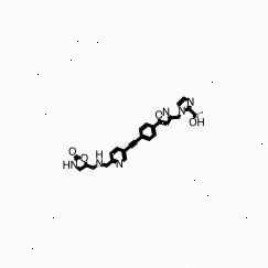 C[C@H](O)c1nccn1Cc1cc(-c2ccc(C#Cc3ccc(CNCC4CNC(=O)O4)nc3)cc2)on1